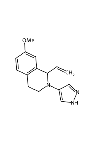 C=CC1c2cc(OC)ccc2CCN1c1cn[nH]c1